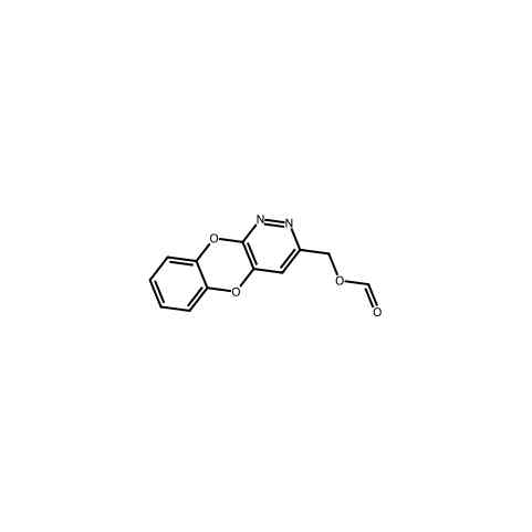 O=COCc1cc2c(nn1)Oc1ccccc1O2